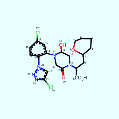 O=C(O)C(CC1CCCCO1)N1CC(O)N(c2cc(Cl)ccc2-n2cc(Cl)nn2)CC1=O